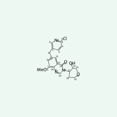 COc1cc(Cc2ccc(Cl)nc2)cc2c(=O)n(C3CCOCC3O)cnc12